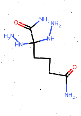 NNC(CCCC(N)=O)(NN)C(N)=O